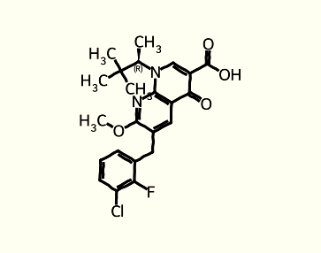 COc1nc2c(cc1Cc1cccc(Cl)c1F)c(=O)c(C(=O)O)cn2[C@H](C)C(C)(C)C